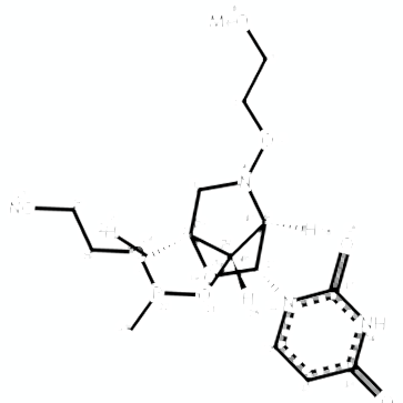 [2H]C[C@@]12CN(OCCOC)[C@@H]([C@H](n3ccc(=O)[nH]c3=O)O1)[C@@H]2OP(C)OCCC#N